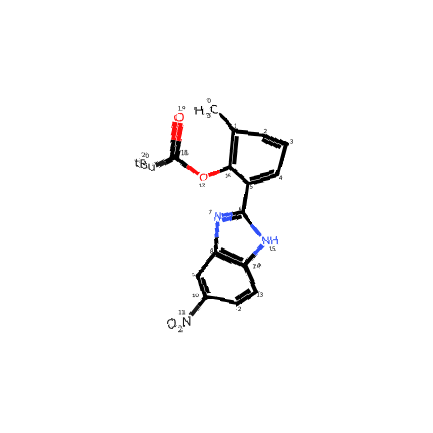 Cc1cccc(-c2nc3cc([N+](=O)[O-])ccc3[nH]2)c1OC(=O)C(C)(C)C